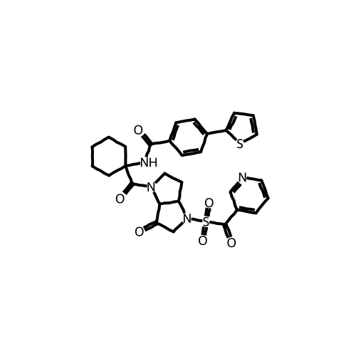 O=C(NC1(C(=O)N2CCC3C2C(=O)CN3S(=O)(=O)C(=O)c2cccnc2)CCCCC1)c1ccc(-c2cccs2)cc1